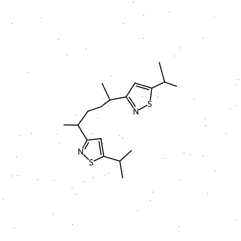 CC(C)c1cc(C(C)CCC(C)c2cc(C(C)C)sn2)ns1